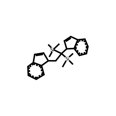 C[Si](C)(C)C(CC1C=Cc2ccccc21)(C1C=Cc2ccccc21)[Si](C)(C)C